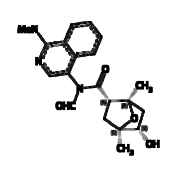 CNc1ncc(N(C=O)C(=O)[C@H]2C[C@@]3(C)O[C@]2(C)C[C@@H]3O)c2ccccc12